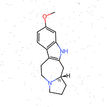 COc1ccc2c3c([nH]c2c1)C[C@@H]1CCCN1CC3